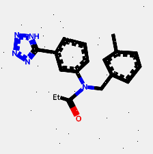 CCC(=O)N(Cc1cccc(C)c1)c1cccc(-c2nnn[nH]2)c1